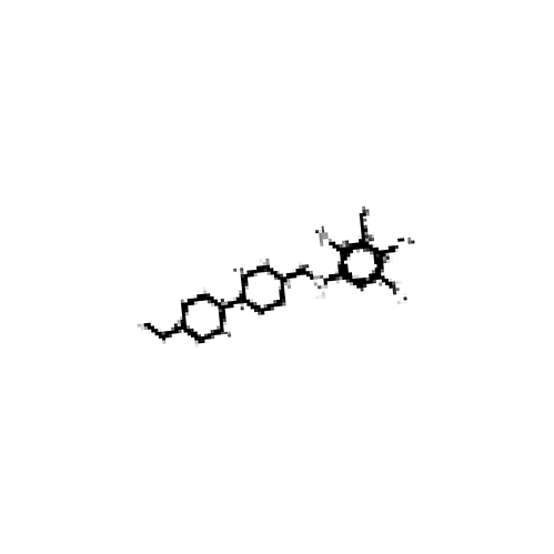 CCC1CCC(C2CCC(COc3cc(F)c(F)c(F)c3F)CC2)CC1